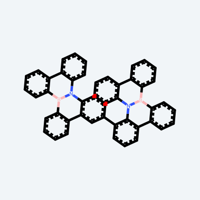 c1ccc2c(c1)B1c3ccccc3-c3cc(-c4cccc5c4N4B(c6ccccc6-c6ccccc64)c4ccccc4-5)ccc3N1c1ccccc1-2